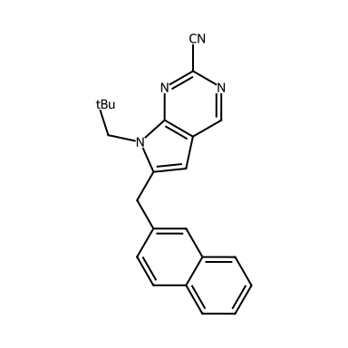 CC(C)(C)Cn1c(Cc2ccc3ccccc3c2)cc2cnc(C#N)nc21